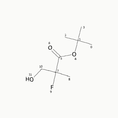 CC(C)(C)OC(=O)C(C)(F)CO